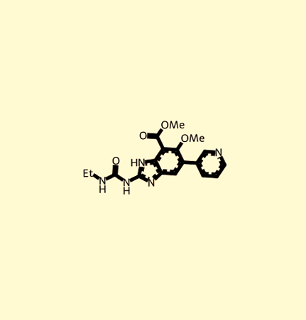 CCNC(=O)Nc1nc2cc(-c3cccnc3)c(OC)c(C(=O)OC)c2[nH]1